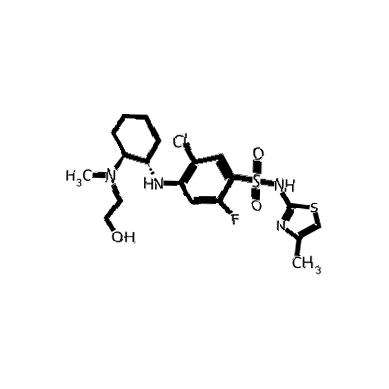 Cc1csc(NS(=O)(=O)c2cc(Cl)c(N[C@H]3CCCC[C@@H]3N(C)CCO)cc2F)n1